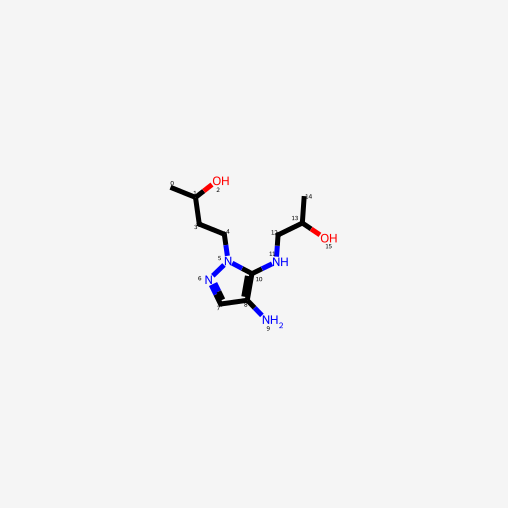 CC(O)CCn1ncc(N)c1NCC(C)O